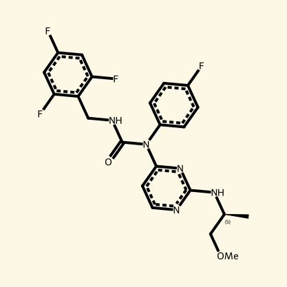 COC[C@H](C)Nc1nccc(N(C(=O)NCc2c(F)cc(F)cc2F)c2ccc(F)cc2)n1